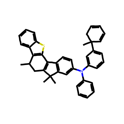 CC1CC2=C(c3ccc(N(c4ccccc4)c4cccc(C5(C)C=CC=CC5)c4)cc3C2(C)C)c2sc3ccccc3c21